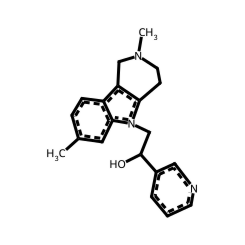 Cc1ccc2c3c(n(CC(O)c4cccnc4)c2c1)CCN(C)C3